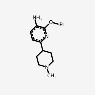 CC(C)Oc1nc(C2CCN(C)CC2)ccc1N